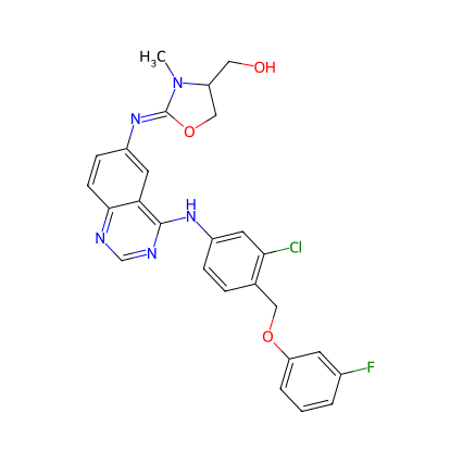 CN1C(=Nc2ccc3ncnc(Nc4ccc(COc5cccc(F)c5)c(Cl)c4)c3c2)OCC1CO